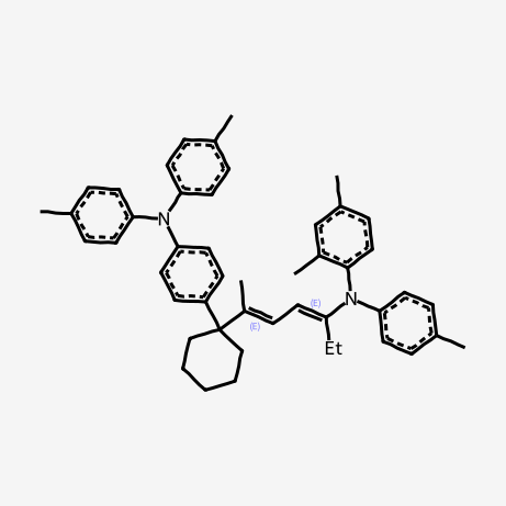 CC/C(=C\C=C(/C)C1(c2ccc(N(c3ccc(C)cc3)c3ccc(C)cc3)cc2)CCCCC1)N(c1ccc(C)cc1)c1ccc(C)cc1C